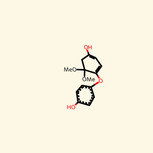 COC1(OC)CC(O)=CC=C1Oc1ccc(O)cc1